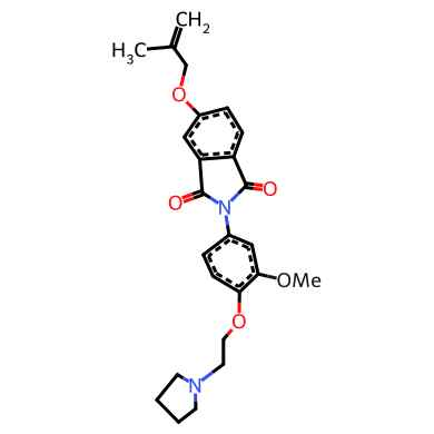 C=C(C)COc1ccc2c(c1)C(=O)N(c1ccc(OCCN3CCCC3)c(OC)c1)C2=O